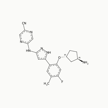 Cc1cc(-c2cc(Nc3cnc(C#N)cn3)n[nH]2)c(O[C@@H]2CC[C@@H](N)C2)cc1F